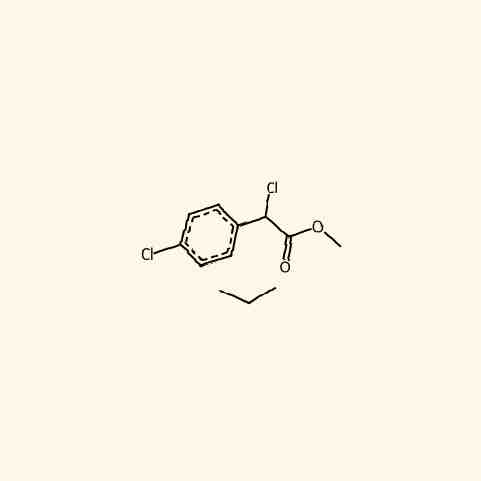 CCC.COC(=O)C(Cl)c1ccc(Cl)cc1